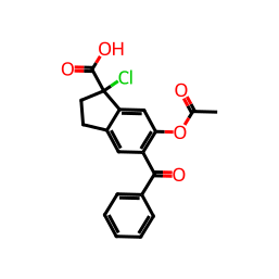 CC(=O)Oc1cc2c(cc1C(=O)c1ccccc1)CCC2(Cl)C(=O)O